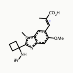 COc1cc2nc(C3(NC(C)C)CCC3)n(C)c2cc1/C=C(\C)C(=O)O